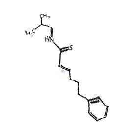 CC(C)CNC(=S)/C=C/CCCc1ccccc1